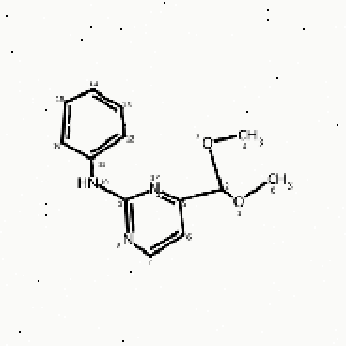 COC(OC)c1ccnc(Nc2ccccc2)n1